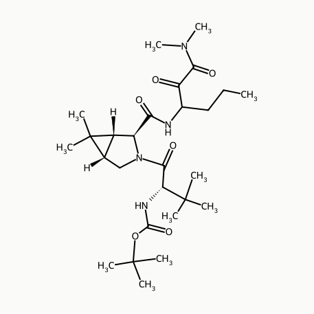 CCCC(NC(=O)[C@@H]1[C@@H]2[C@H](CN1C(=O)[C@@H](NC(=O)OC(C)(C)C)C(C)(C)C)C2(C)C)C(=O)C(=O)N(C)C